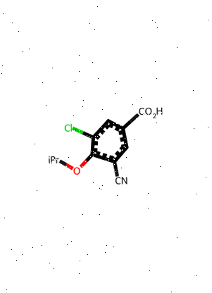 CC(C)Oc1c(Cl)cc(C(=O)O)cc1C#N